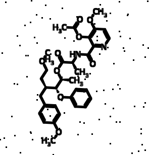 COCC[C@H](Cc1ccc(OC)cc1)[C@@H](Oc1ccccc1)[C@H](C)OC(=O)[C@H](C)NC(=O)c1nccc(OC)c1OC(C)=O